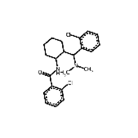 CN(C)C(c1ccccc1Cl)C1CCCCC1NC(=O)c1ccccc1Cl